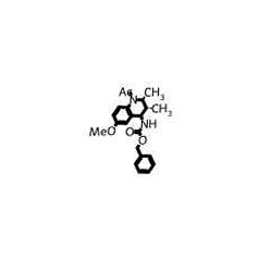 COc1ccc2c(c1)C(NC(=O)OCc1ccccc1)[C@@H](C)[C@H](C)N2C(C)=O